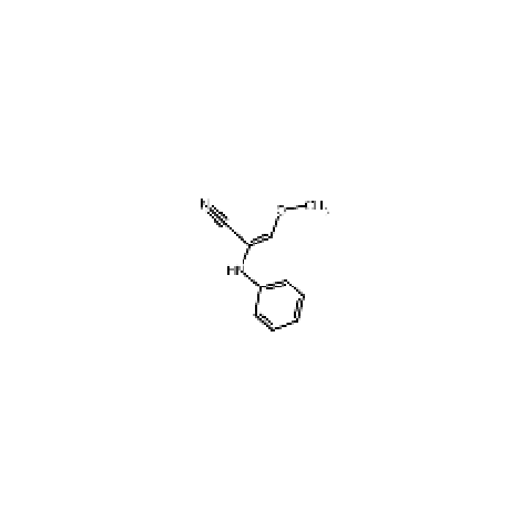 COC=C(C#N)Nc1ccccc1